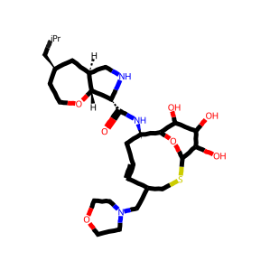 CC(C)C[C@@H]1CCO[C@@H]2[C@H](CN[C@@H]2C(=O)N[C@@H]2C/C=C/C(CN3CCOCC3)CSC3OC2C(O)C(O)C3O)C1